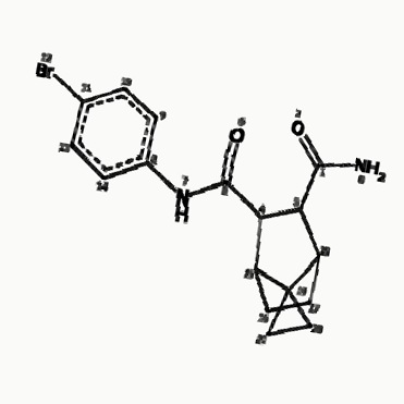 NC(=O)C1C(C(=O)Nc2ccc(Br)cc2)C2CCC1C21CC1